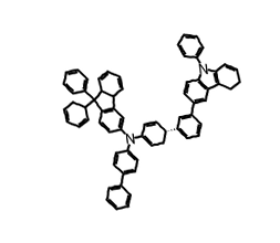 C1=CCC(C2(c3ccccc3)c3ccc(N(C4=CC[C@@H](c5cccc(-c6ccc7c(c6)c6c(n7-c7ccccc7)C=CCC6)c5)C=C4)c4ccc(-c5ccccc5)cc4)cc3C3C=CC=CC32)C=C1